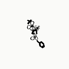 CC(C)(C)OC(=O)N[C@@]1(C)CN(C(=O)OCc2ccccc2)C[C@@H]1CF